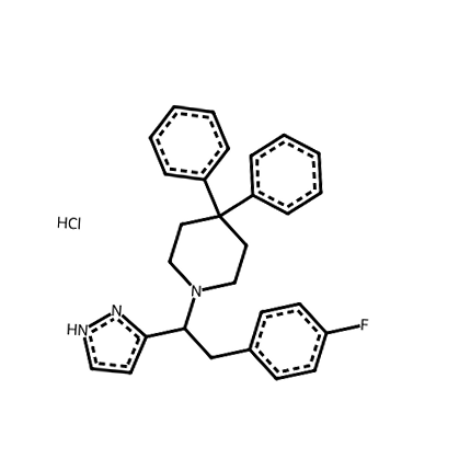 Cl.Fc1ccc(CC(c2cc[nH]n2)N2CCC(c3ccccc3)(c3ccccc3)CC2)cc1